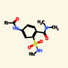 CCC(=O)Nc1ccc(C(=O)N(C)C)c(S(=O)(=O)NC(C)(C)C)c1